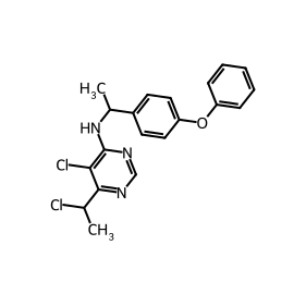 CC(Cl)c1ncnc(NC(C)c2ccc(Oc3ccccc3)cc2)c1Cl